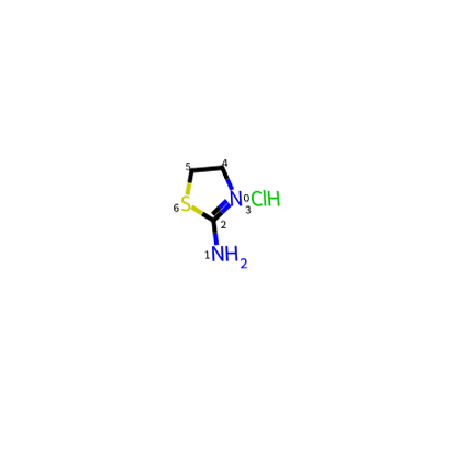 Cl.NC1=NCCS1